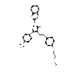 CS(=O)(=O)c1ccc(-c2nn(-c3nc4ccccc4[nH]3)c(O)c2CCc2ccc(OCCOCC(=O)O)cc2)cc1